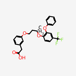 C[C@@H](CCOc1cccc(CC(=O)O)c1)Oc1ccc(C(F)(F)F)cc1Oc1ccccc1